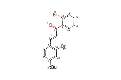 CC(C)(C)c1ccc(/C=C/C(=O)c2ccccc2Br)c(Br)c1